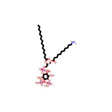 CCCCCCCCCCCCCCCC(=O)O[C@H](COC(=O)CCCCCCCCCCN)COP(=O)(O)OC1C(O)[C@@H](O)C(OP(=O)(O)O)[C@@H](OP(=O)(O)O)[C@H]1O